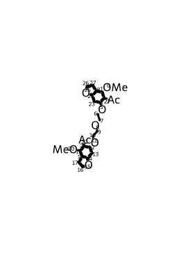 COc1c(C(C)=O)c(OCCOCCOc2cc3occc3c(OC)c2C(C)=O)cc2occc12